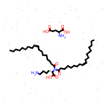 CCCCCCCC/C=C\CCCCCCCC(=O)N(C(=O)CCCCCCC/C=C\CCCCCCCC)[C@@H](CCCCN)C(=O)O.N[C@@H](CCC(=O)O)C(=O)O